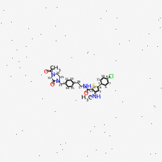 CNc1cc(-c2ccc(Cl)cc2)sc1C(=O)NCCc1ccc(CN2CCN(C(C)=O)CC2=O)cc1